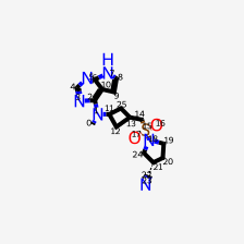 CN(c1ncnc2[nH]ccc12)C1CC(CS(=O)(=O)N2CC[C@H](C#N)C2)C1